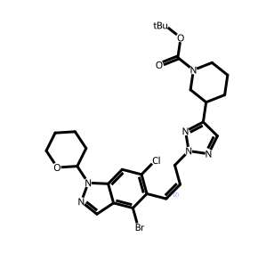 CC(C)(C)OC(=O)N1CCCC(c2cnn(C/C=C\c3c(Cl)cc4c(cnn4C4CCCCO4)c3Br)n2)C1